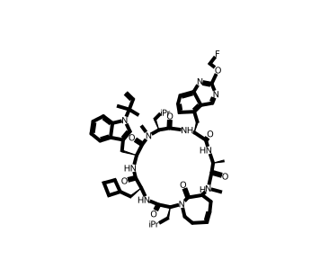 C=CC(C)(C)n1cc(C[C@@H]2NC(=O)[C@H](CC3CCC3)NC(=O)[C@H](CC(C)C)N3CC/C=C\C[C@@H](C3=O)N(C)C(=O)[C@H](C)NC(=O)[C@H](Cc3cccc4nc(OCF)ncc34)NC(=O)[C@H](CC(C)C)N(C)C2=O)c2ccccc21